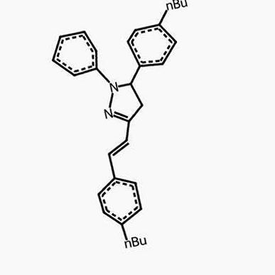 CCCCc1ccc(C=CC2=NN(c3ccccc3)C(c3ccc(CCCC)cc3)C2)cc1